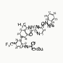 C[C@@H](NC(=O)c1nccc(On2nnc3ccccc32)n1)c1ccc(-c2cc(C(F)(F)F)ccc2CNC(=O)OC(C)(C)C)cc1